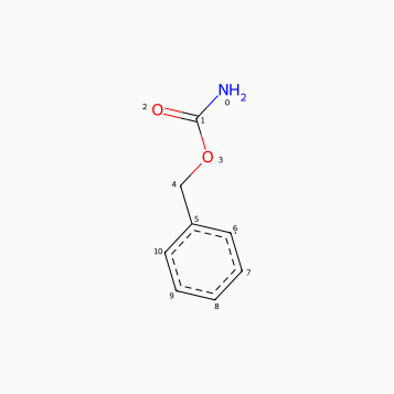 NC(=O)OCc1[c]cccc1